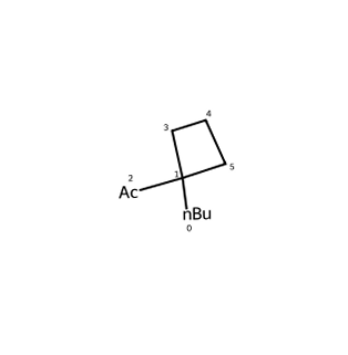 CCCCC1(C(C)=O)CCC1